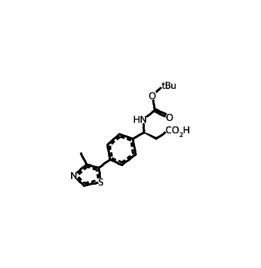 Cc1ncsc1-c1ccc([C@H](CC(=O)O)NC(=O)OC(C)(C)C)cc1